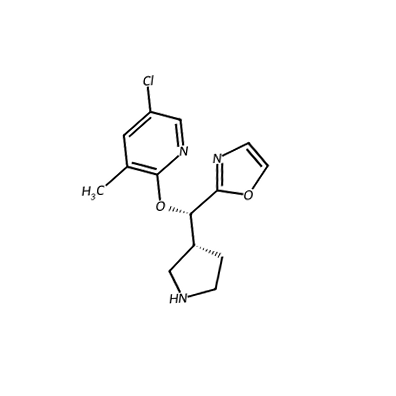 Cc1cc(Cl)cnc1O[C@H](c1ncco1)[C@@H]1CCNC1